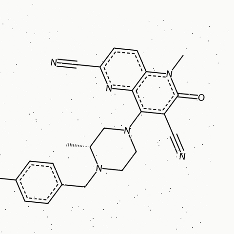 Cc1ccc(CN2CCN(c3c(C#N)c(=O)n(C)c4ccc(C#N)nc34)C[C@H]2C)cc1